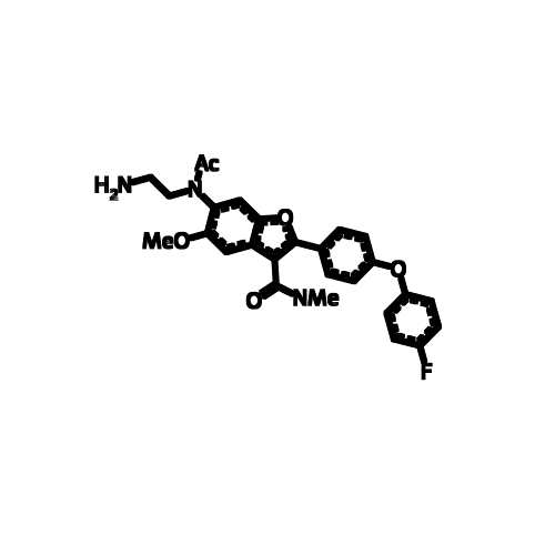 CNC(=O)c1c(-c2ccc(Oc3ccc(F)cc3)cc2)oc2cc(N(CCN)C(C)=O)c(OC)cc12